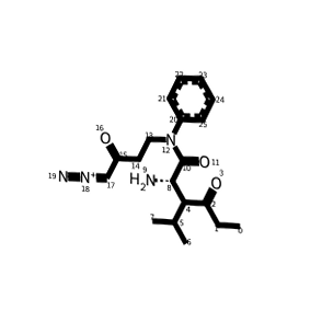 CCC(=O)C(C(C)C)[C@H](N)C(=O)N(CCC(=O)C=[N+]=[N-])c1ccccc1